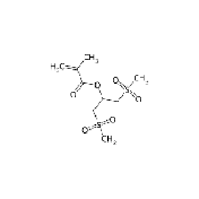 C=C(C)C(=O)OC(CS(C)(=O)=O)CS(C)(=O)=O